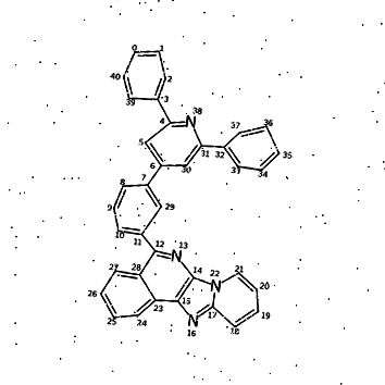 c1ccc(-c2cc(-c3cccc(-c4nc5c(nc6ccccn65)c5ccccc45)c3)cc(-c3ccccc3)n2)cc1